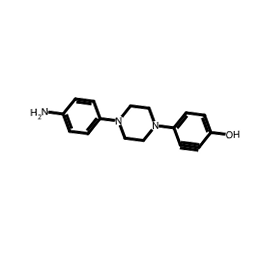 Nc1ccc(N2CCN(c3c#cc(O)cc3)CC2)cc1